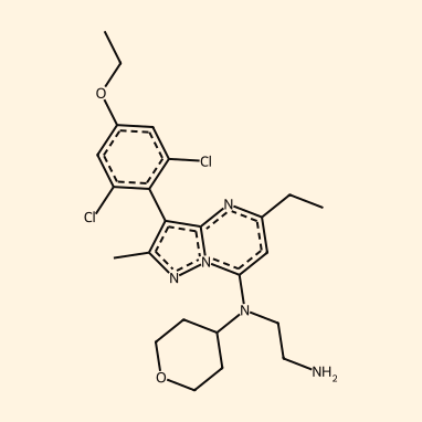 CCOc1cc(Cl)c(-c2c(C)nn3c(N(CCN)C4CCOCC4)cc(CC)nc23)c(Cl)c1